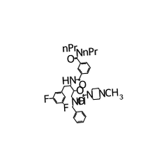 CCCN(CCC)C(=O)c1cccc(C(=O)NC(Cc2cc(F)cc(F)c2)C(CNCc2ccccc2)OC(=O)N2CCN(C)CC2)c1